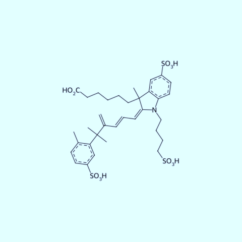 C=C(/C=C/C=C1/N(CCCCS(=O)(=O)O)c2ccc(S(=O)(=O)O)cc2C1(C)CCCCCC(=O)O)C(C)(C)c1cc(S(=O)(=O)O)ccc1C